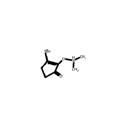 C[SiH](C)OC1=C(C(C)(C)C)CCC1=O